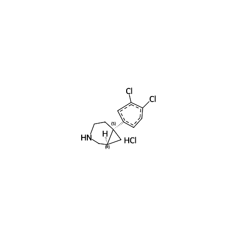 Cl.Clc1ccc([C@@]23CCNC[C@@H]2C3)cc1Cl